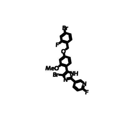 COc1cc(OCc2ccc(Br)cc2F)ccc1-c1[nH]c(-c2ccc(F)nc2)nc1Br